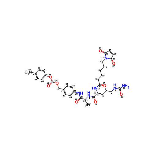 CC(C)[C@H](NC(=O)[C@H](CCCNC(N)=O)NC(=O)CCCCCN1C(=O)C=CC1=O)C(=O)Nc1ccc(COC(=O)Oc2ccc([N+](=O)[O-])cc2)cc1